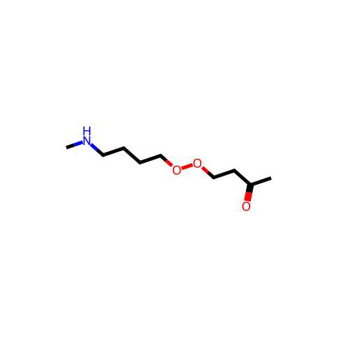 CNCCCCOOCCC(C)=O